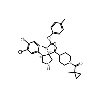 Cc1ccc(OC(=O)N(C)[C@]2(C(=O)C3CCN(C(=O)C4(C)CC4)CC3)CNC[C@H]2c2ccc(Cl)c(Cl)c2)cc1